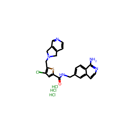 Cl.Cl.Cl.Nc1nccc2cc(CNC(=O)c3cc(Cl)c(CN4Cc5ccncc5C4)s3)ccc12